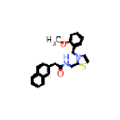 COc1ccccc1CN1C=CSC1CNC(=O)Cc1ccc2ccccc2c1